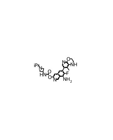 Cc1c(-c2cc3cc(OC(=O)NC4CN(C(C)C)C4)ncc3c(N)c2F)cnc2c1NCCO2